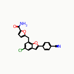 N#Cc1ccc(-c2cc3cc(Cl)cc(Cc4ccc(C(N)=O)o4)c3o2)cc1